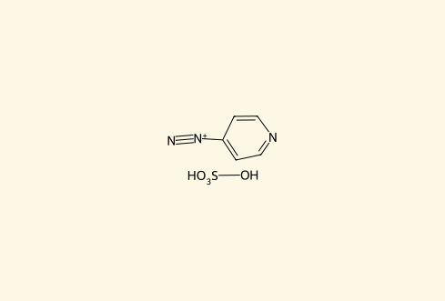 N#[N+]c1ccncc1.O=S(=O)(O)O